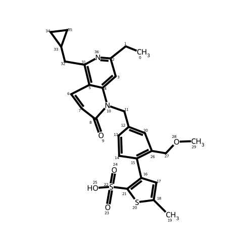 CCc1cc2c(ccc(=O)n2Cc2ccc(-c3cc(C)sc3S(=O)(=O)O)c(COC)c2)c(CC2CC2)n1